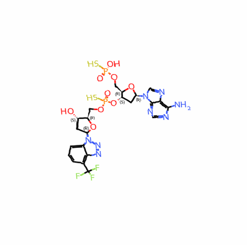 Nc1ncnc2c1ncn2[C@H]1C[C@H](OP(=O)(S)OC[C@H]2O[C@@H](n3nnc4c(C(F)(F)F)cccc43)C[C@@H]2O)[C@@H](COP(=O)(O)S)O1